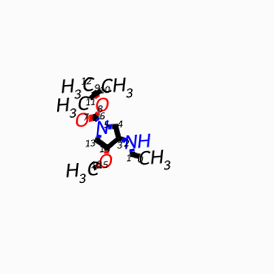 CCNC1CN(C(=O)OC(C)(C)C)CC1OC